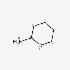 BC1CCCCO1